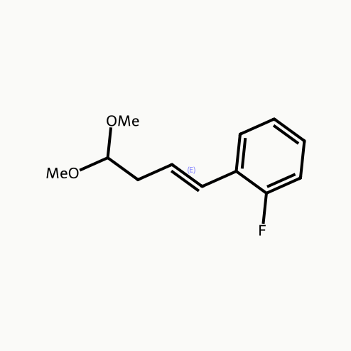 COC(C/C=C/c1ccccc1F)OC